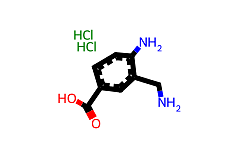 Cl.Cl.NCc1cc(C(=O)O)ccc1N